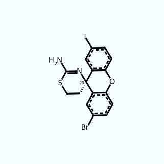 NC1=N[C@]2(CCS1)c1cc(Br)ccc1Oc1ccc(I)cc12